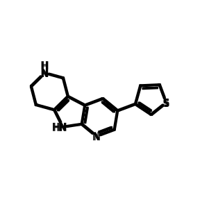 c1cc(-c2cnc3[nH]c4c(c3c2)CNCC4)cs1